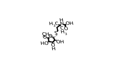 CO[C@H]1O[C@H](CSCCC(C)(C)NC(=O)O)[C@@H](O)[C@H](O)[C@H]1O